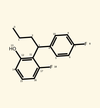 CCCC(c1ccc(F)cc1)c1c(O)cccc1F